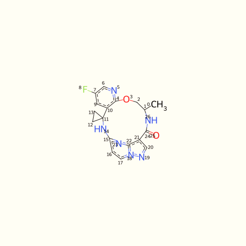 CC1COc2ncc(F)cc2C2(CC2)Nc2ccn3ncc(c3n2)C(=O)N1